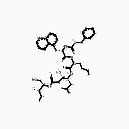 CCCC[C@H](NC(=O)[C@H](Cc1cccc2ncccc12)NC(=O)OCc1ccccc1)C(=O)N[C@@H](CC(C)C)[C@@H](O)CC(=O)N[C@H](CO)[C@@H](C)CC